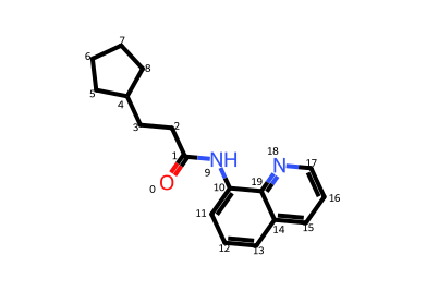 O=C(CCC1CCCC1)Nc1cccc2cccnc12